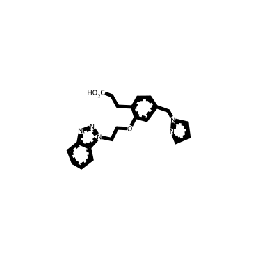 O=C(O)CCc1ccc(Cn2cccn2)cc1OCCn1nnc2ccccc21